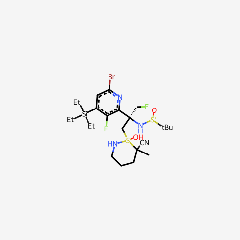 CC[Si](CC)(CC)c1cc(Br)nc([C@](CF)(CS2(O)NCCCC2(C)C#N)N[S+]([O-])C(C)(C)C)c1F